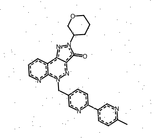 Cc1ccc(-c2ccc(Cn3nc4c(=O)n(C5CCCOC5)nc-4c4cccnc43)cn2)cn1